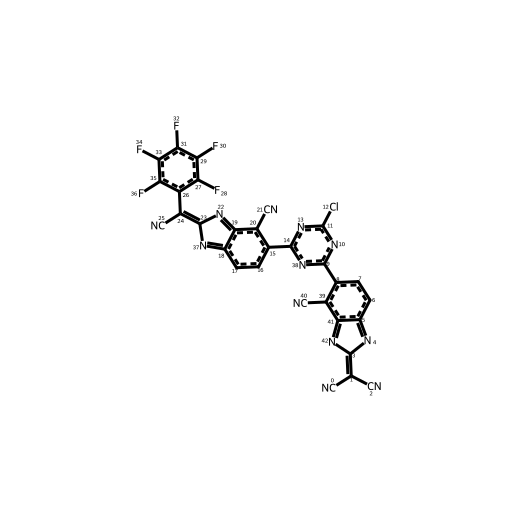 N#CC(C#N)=C1N=c2ccc(-c3nc(Cl)nc(-c4ccc5c(c4C#N)=N/C(=C(/C#N)c4c(F)c(F)c(F)c(F)c4F)N=5)n3)c(C#N)c2=N1